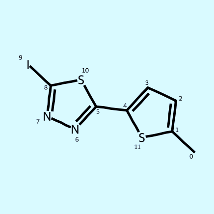 Cc1ccc(-c2nnc(I)s2)s1